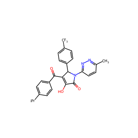 Cc1ccc(N2C(=O)C(O)=C(C(=O)c3ccc(C(C)C)cc3)C2c2ccc(C(F)(F)F)cc2)nn1